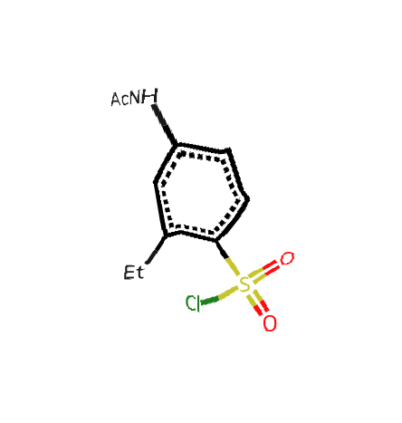 CCc1cc(NC(C)=O)ccc1S(=O)(=O)Cl